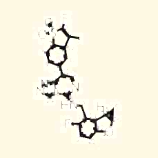 CC1=C(F)S(=O)(=O)c2ccc(-c3cnc(NCc4c(F)ccc5c4[C@H]4C=C4O5)n4cnnc34)cc21